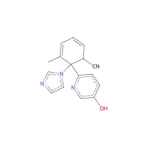 CC1=CC=CC(C#N)C1(c1ccc(O)cn1)n1ccnc1